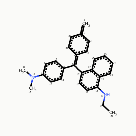 C=c1ccc(=C(c2ccc(N(C)C)cc2)c2ccc(NCC)c3ccccc23)cc1